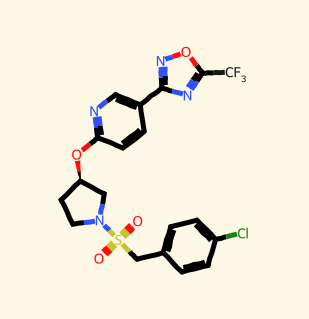 O=S(=O)(Cc1ccc(Cl)cc1)N1CC[C@@H](Oc2ccc(-c3noc(C(F)(F)F)n3)cn2)C1